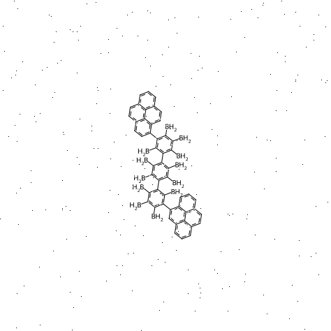 Bc1c(B)c(-c2c(B)c(B)c(-c3c(B)c(B)c(B)c(-c4cc5cccc6ccc7cccc4c7c65)c3B)c(B)c2B)c(B)c(-c2ccc3ccc4cccc5ccc2c3c45)c1B